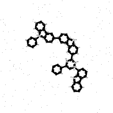 c1ccc(-c2c[n+](-c3cccc4c3sc3ccccc34)nc(-c3ccc4oc5ccc(-c6ccc7c(c6)c6ccccc6n7-c6ccccc6)cc5c4c3)n2)cc1